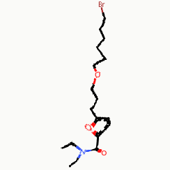 CCN(CC)C(=O)c1ccc(CCCOCCCCCCBr)o1